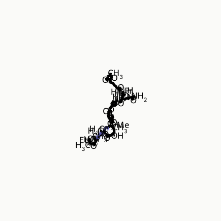 CC[C@H](O)[C@@H](C)[C@H]1O[C@@H]1C[C@@](C)(O)/C=C/C=C(\C)[C@H]1OC(=O)C[C@H](O)CC[C@@](C)(OC)[C@@H](OC(=O)N2CCN(C(=O)OCc3ccc(NC(=O)[C@H](CCCNC(N)=O)NC(=O)[C@@H](NC(=O)CCCCCN4C(=O)CC(C)C4=O)C(C)C)cc3)CC2)/C=C/[C@@H]1C